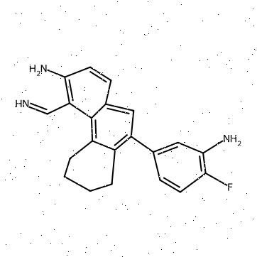 N=Cc1c(N)ccc2cc(-c3ccc(F)c(N)c3)c3c(c12)CCCC3